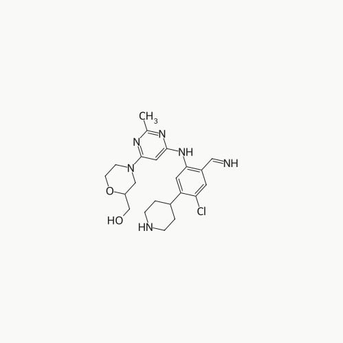 Cc1nc(Nc2cc(C3CCNCC3)c(Cl)cc2C=N)cc(N2CCOC(CO)C2)n1